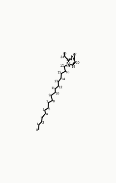 CCCCCCCCCCCCCCCCCCN1C=CN(C)C1CC